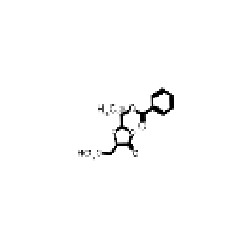 C[C@H](OC(=O)c1ccccc1)C1OC(=O)C(CC(=O)O)S1